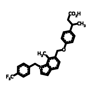 Cc1c(COc2ccc(C(C)CC(=O)O)cc2)ccc2ccn(Cc3ccc(C(F)(F)F)cc3)c12